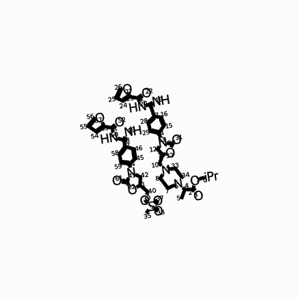 CC(C)OC(=O)C(C)N1CCN(CC2CN(c3ccc(C(=N)NC(=O)c4ccco4)cc3)C(=O)O2)CC1.CS(=O)(=O)OCC1CN(c2ccc(C(=N)NC(=O)c3ccco3)cc2)C(=O)O1